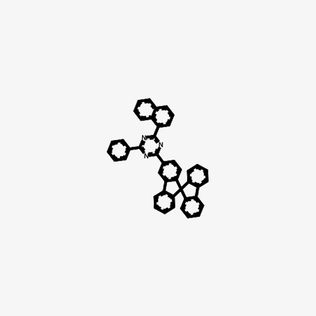 c1ccc(-c2nc(-c3ccc4c(c3)-c3ccccc3C43c4ccccc4-c4ccccc43)nc(-c3cccc4ccccc34)n2)cc1